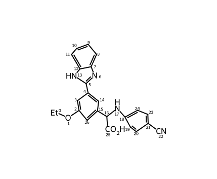 CCOc1cc(-c2nc3ccccc3[nH]2)cc(C(Nc2ccc(C#N)cc2)C(=O)O)c1